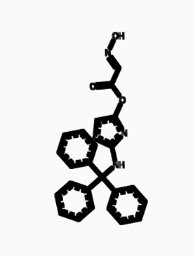 O=C(C=NO)Oc1csc(NC(c2ccccc2)(c2ccccc2)c2ccccc2)n1